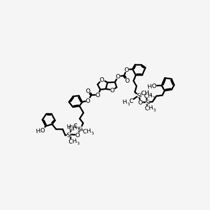 C[Si](C)(CCCc1ccccc1O)O[Si](C)(C)CCCc1ccccc1OC(=O)OC1COC2C(OC(=O)Oc3ccccc3CCC[Si](C)(C)O[Si](C)(C)CCCc3ccccc3O)COC12